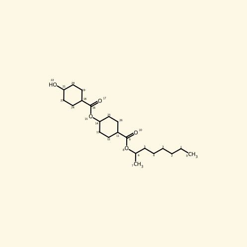 CCCCCCC(C)OC(=O)C1CCC(OC(=O)C2CCC(O)CC2)CC1